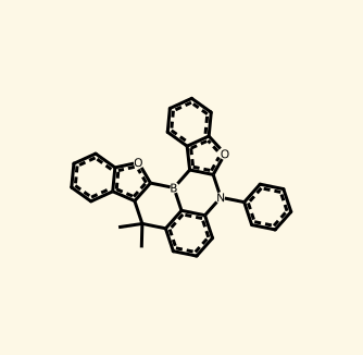 CC1(C)c2cccc3c2B(c2oc4ccccc4c21)c1c(oc2ccccc12)N3c1ccccc1